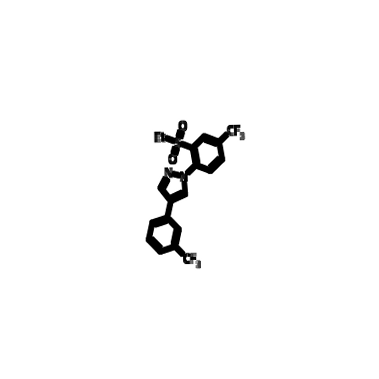 CCS(=O)(=O)c1cc(C(F)(F)F)ccc1-n1cc(-c2cccc(C(F)(F)F)c2)cn1